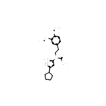 COc1ccc(CCN(C(N)=O)c2cc(C3CCCC3)n[nH]2)cc1OC